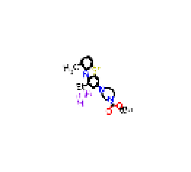 CCc1cc(N2CCCN(C(=O)OC(C)(C)C)CC2)cc2[s+]c3cccc(C)c3nc12.I.I.[I-]